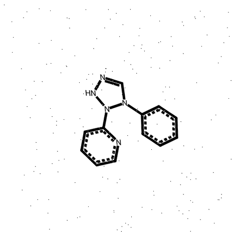 C1=NNN(c2ccccn2)N1c1ccccc1